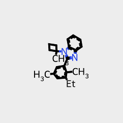 CCc1cc(C)cc(-c2nc3ccccc3n2C2(C)CCC2)c1C